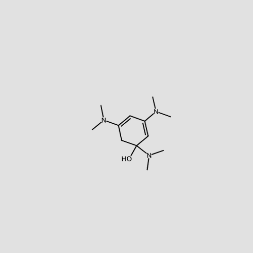 CN(C)C1=CC(O)(N(C)C)CC(N(C)C)=C1